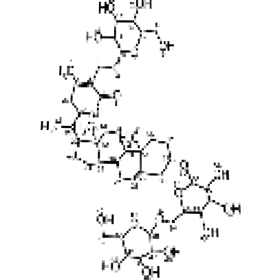 CC1=C(COC2OC(CO)C(O)C(O)C2O)C(=O)OC([C@H](C)C2CCC3C4CC=C5C[C@@H](OC6OC(COC7OC(CO)C(O)C(O)C7O)C(O)C(O)C6O)CC[C@]5(C)C4CC[C@@]32C)C1